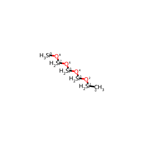 C[SiH2]O[SiH2]O[SiH2]O[SiH2]O[SiH3]